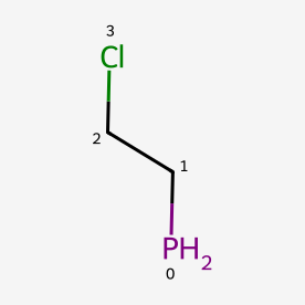 PCCCl